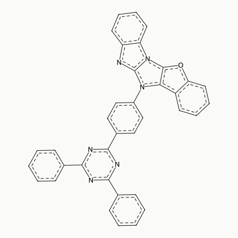 c1ccc(-c2nc(-c3ccccc3)nc(-c3ccc(-n4c5c6ccccc6oc5n5c6ccccc6nc45)cc3)n2)cc1